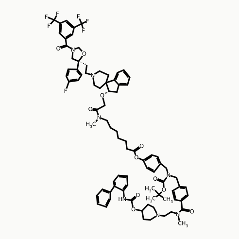 CN(CCCCCCC(=O)Oc1ccc(CN(Cc2ccc(C(=O)N(C)CCN3CCC(OC(=O)Nc4ccccc4-c4ccccc4)CC3)cc2)C(=O)OC(C)(C)C)cc1)C(=O)CO[C@H]1Cc2ccccc2C12CCN(CC[C@]1(c3ccc(F)cc3)CN(C(=O)c3cc(C(F)(F)F)cc(C(F)(F)F)c3)CO1)CC2